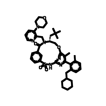 Cc1cccc(CC2CCCCC2)c1-c1nc2nc(c1C)OC[C@@H](CC(C)(C)C)N(Cc1ncccc1N1CCOCC1)C(=O)c1cccc(c1)S(=O)(=O)N2